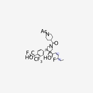 C=C(/C=C\C(F)=C/C)[C@@]1(CO)CN(C(=O)C2CCN(C(C)=O)CC2)C[C@H]1c1ccc(C(O)(C(F)(F)F)C(F)(F)F)cc1